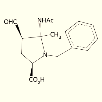 CC(=O)N[C@@]1(C)[C@H](C=O)C[C@H](C(=O)O)N1Cc1ccccc1